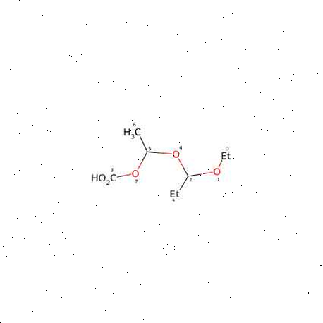 CCOC(CC)OC(C)OC(=O)O